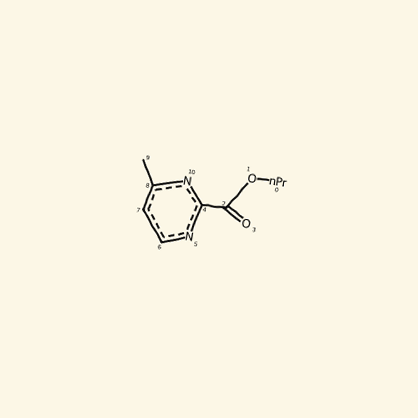 CCCOC(=O)c1nccc(C)n1